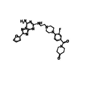 Nc1nc(NCCN2CCN(c3ccc(C(=O)N4CCC(=O)CC4)cc3F)CC2)nc2nc(-c3ccco3)nn12